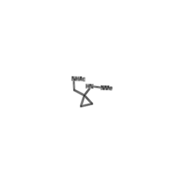 CNNC1(CNC(C)=O)CC1